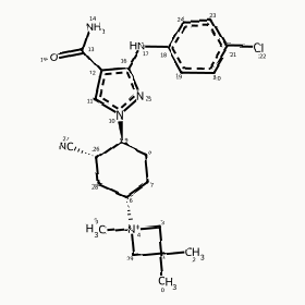 CC1(C)C[N+](C)([C@H]2CC[C@H](n3cc(C(N)=O)c(Nc4ccc(Cl)cc4)n3)[C@@H](C#N)C2)C1